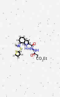 CCOC(=O)CC(=O)NNC(=O)c1cc2cccc(N(C)Sc3cccs3)c2[nH]1